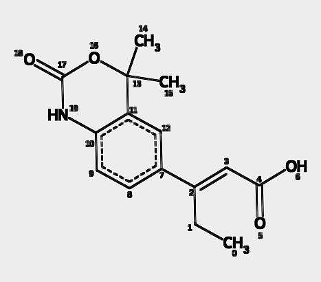 CCC(=CC(=O)O)c1ccc2c(c1)C(C)(C)OC(=O)N2